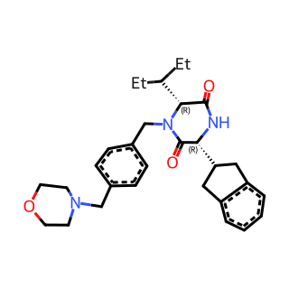 CCC(CC)[C@@H]1C(=O)N[C@H](C2Cc3ccccc3C2)C(=O)N1Cc1ccc(CN2CCOCC2)cc1